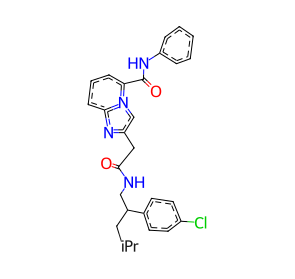 CC(C)CC(CNC(=O)Cc1cn2c(C(=O)Nc3ccccc3)cccc2n1)c1ccc(Cl)cc1